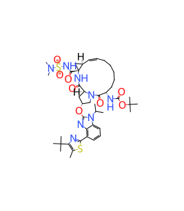 Cc1sc(-c2cccc3c2nc(O[C@@H]2C[C@H]4C(=O)N[C@]5(C(=O)NS(=O)(=O)N(C)C)C[C@H]5/C=C\CCCCC[C@H](NC(=O)OC(C)(C)C)C(=O)N4C2)n3C(C)C)nc1C(C)(C)C